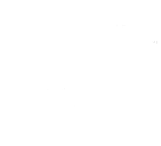 CCCC=COC(=O)CCCCC(O)CCCC